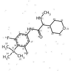 CNC(C(=O)Nc1cc(F)c([Si](C)(C)C)c(F)c1)C1CCOCC1